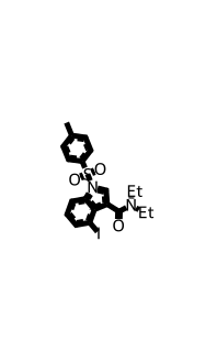 CCN(CC)C(=O)c1cn(S(=O)(=O)c2ccc(C)cc2)c2cccc(I)c12